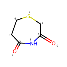 O=C1[CH]SCCC(=O)N1